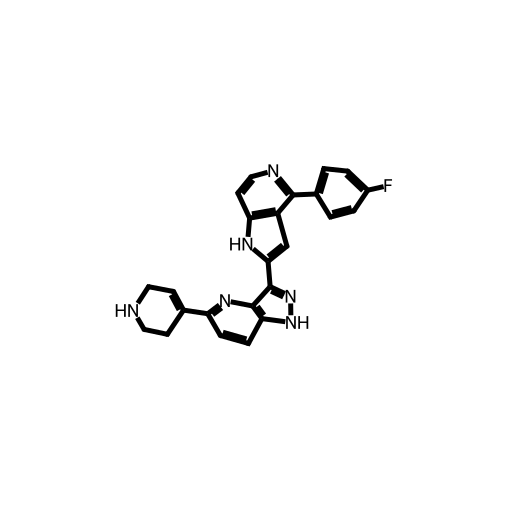 Fc1ccc(-c2nccc3[nH]c(-c4n[nH]c5ccc(C6=CCNCC6)nc45)cc23)cc1